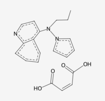 CCCN(c1ccnc2ccccc12)n1cccc1.O=C(O)/C=C\C(=O)O